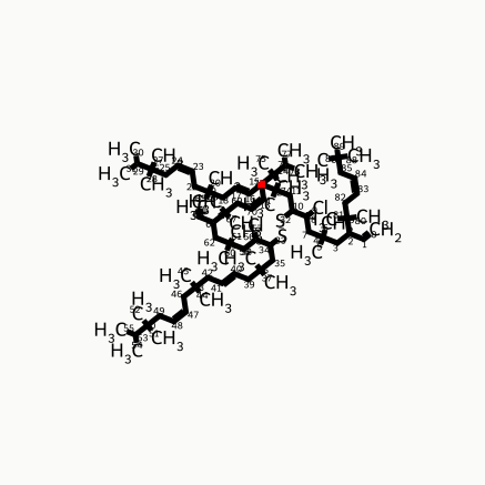 C=CC(CC(C)(C)CC(Cl)C(CC(C)(C)C/C=C/CC(C)(C)C/C=C\CC(C)(C)C(C)C)SSC(CC(C)(C)C/C=C/CC(C)(C)C/C=C\CC(C)(C)C(C)C)C(Cl)CC(C)(C)CC(C=C)C(C)(C)C/C=C\CC(C)(C)C(C)C)C(C)(C)C/C=C\CC(C)(C)C